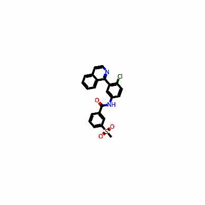 CS(=O)(=O)c1cccc(C(=O)Nc2ccc(Cl)c(-c3nccc4ccccc34)c2)c1